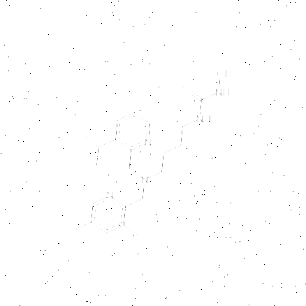 Cc1cnc(CN(CCCCNC(=O)NO)Cc2ncccc2C(C)C)c(C)c1